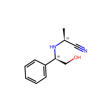 C[C@@H](C#N)N[C@@H](CO)c1ccccc1